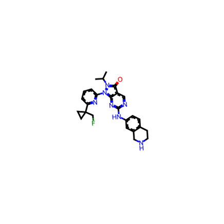 CC(C)n1c(=O)c2cnc(Nc3ccc4c(c3)CNCC4)nc2n1-c1cccc(C2(CF)CC2)n1